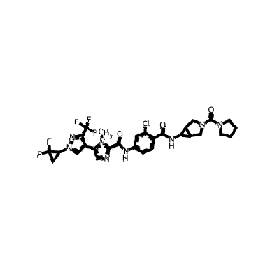 Cn1c(-c2cn(C3CC3(F)F)nc2C(F)(F)F)cnc1C(=O)Nc1ccc(C(=O)NC2C3CN(C(=O)N4CCCC4)CC32)c(Cl)c1